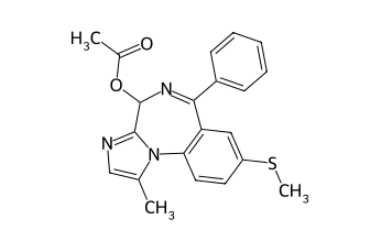 CSc1ccc2c(c1)C(c1ccccc1)=NC(OC(C)=O)c1ncc(C)n1-2